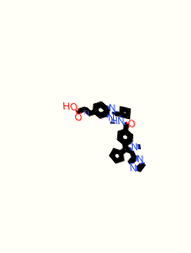 Cn1c(C2(NC(=O)c3ccc4c(C5CCCC5)c(-c5cnccn5)n(C)c4c3)CCC2)nc2ccc(/C=C/C(=O)O)cc21